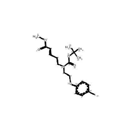 COC(=O)/C=C/CCN(CCOc1ccc(I)cc1)C(=O)OC(C)(C)C